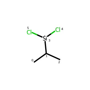 CC(C)[Si](Cl)Cl